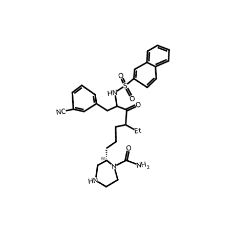 CCC(CCC[C@H]1CNCCN1C(N)=O)C(=O)C(Cc1cccc(C#N)c1)NS(=O)(=O)c1ccc2ccccc2c1